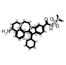 CN(C)S(=O)(=O)NC(=O)c1ccc2c(C3CCCCC3)c3n(c2c1)CCN1CC[C@@H](N)c2cccc-3c21